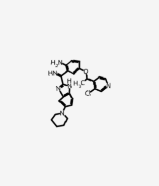 CC(Oc1ccc(N)c(C(=N)c2nc3cc(N4CCCCC4)ccc3[nH]2)c1)c1ccncc1Cl